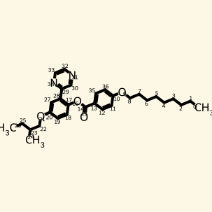 CCCCCCCCCOc1ccc(C(=O)Oc2ccc(OCC(C)CC)cc2-c2cnccn2)cc1